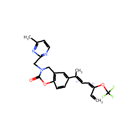 C=C/C(=C\C=C(/C)c1ccc2c(c1)CN(Cc1nccc(C)n1)C(=O)O2)OC(F)(F)F